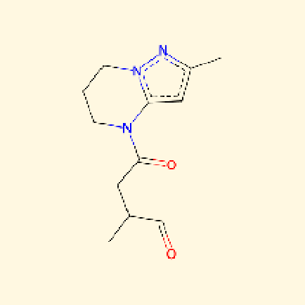 Cc1cc2n(n1)CCCN2C(=O)CC(C)C=O